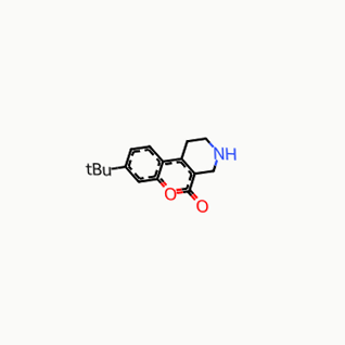 CC(C)(C)c1ccc2c3c(c(=O)oc2c1)CNCC3